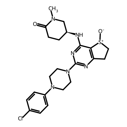 CN1C[C@@H](Nc2nc(N3CCN(c4ccc(Cl)cc4)CC3)nc3c2[S+]([O-])CC3)CCC1=O